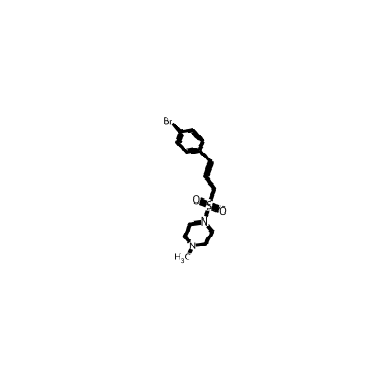 CN1CCN(S(=O)(=O)CC=Cc2ccc(Br)cc2)CC1